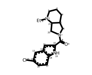 CCN1CCCC2CN(C(=O)c3cc4cc(Cl)ccc4[nH]3)CC21